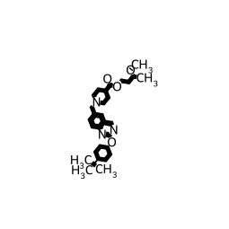 COC(C)CCOC(=O)C1CCN(Cc2ccc3nc(O[C@H]4CC[C@H](C(C)(C)C)CC4)ncc3c2)CC1